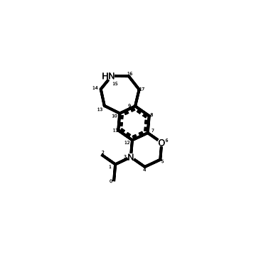 CC(C)N1CCOc2cc3c(cc21)CCNCC3